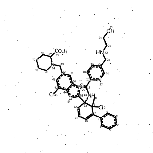 CC1(Cl)C(c2ccccc2)=CC=CC1(NC(=O)c1ccc(CNCCO)cn1)c1nc2cc(CN3CCCCC3C(=O)O)cc(Cl)c2o1